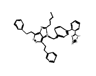 CCCCc1nc2c(CCc3ccccc3)nnc(CCc3ccccc3)c2n1Cc1ccc(-c2ccccc2-c2nnn[nH]2)cc1